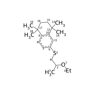 CCOC(C)CSc1ccc2c(c1)C(C)(C)CCC2(C)C